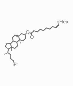 CCCCCC/C=C\CCCCCCCC(=O)OC1CC[C@@]2(C)C(=CCC3C2CC[C@@]2(C)C3CC[C@@H]2[C@H](C)CCCC(C)C)C1